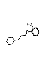 Oc1ccccc1OCCCC1CCCCC1